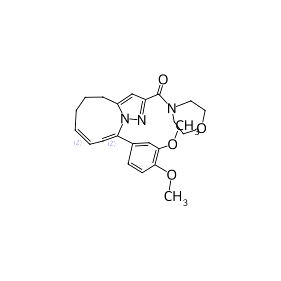 COc1ccc(/C2=C/C=C\CCCc3cc(C(=O)N4CCOCC4)nn32)cc1OC